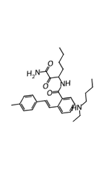 CCCCC(NC(=O)c1ccccc1C=Cc1ccc(C)cc1)C(=O)C(N)=O.CCCCNCC